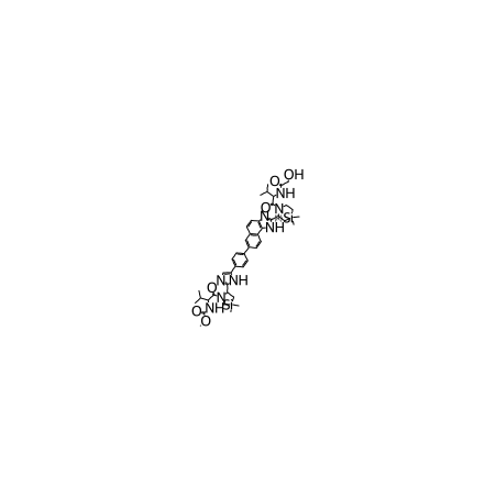 COC(=O)NC(C(=O)N1C[Si](C)(C)CC1c1ncc(-c2ccc(-c3ccc4c(ccc5nc([C@@H]6C[Si](C)(C)CCN6C(=O)C(NC(=O)CO)C(C)C)[nH]c54)c3)cc2)[nH]1)C(C)C